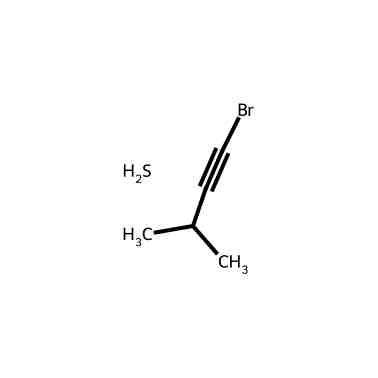 CC(C)C#CBr.S